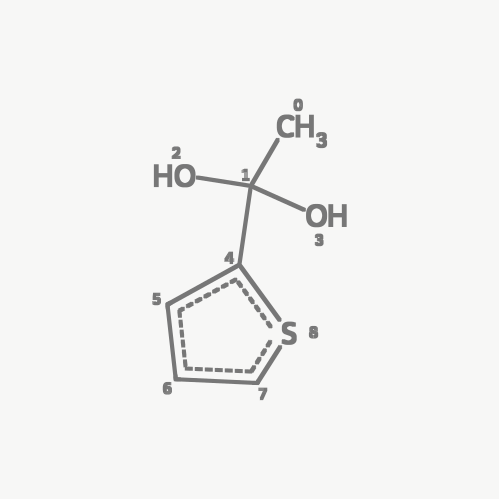 CC(O)(O)c1cccs1